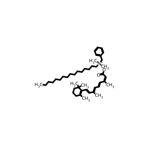 CC(C=CC1=C(C)CCCC1(C)C)=CC=C/C(C)=C\C(=O)[O-].CCCCCCCCCCCCCCCC[N+](C)(C)Cc1ccccc1